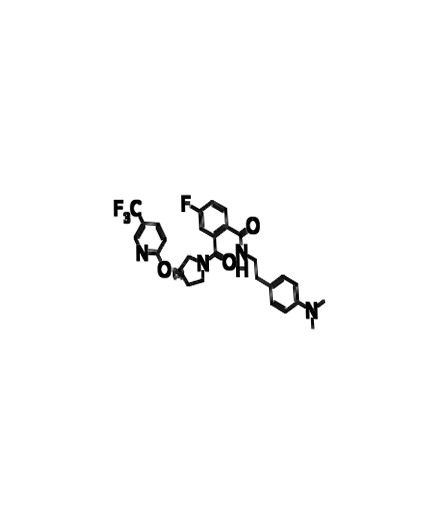 CN(C)c1ccc(CCNC(=O)c2ccc(F)cc2C(=O)N2CC[C@H](Oc3ccc(C(F)(F)F)cn3)C2)cc1